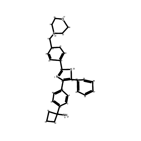 NC1(c2ccc(-c3nc(C4=CCC(CN5CCOCC5)C=C4)sc3-c3ccccc3)cc2)CCC1